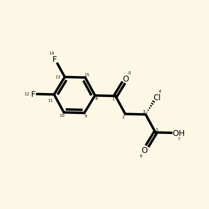 O=C(C[C@H](Cl)C(=O)O)c1ccc(F)c(F)c1